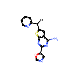 CCC(c1ccccn1)c1cc2c(N)nc(-c3cnco3)nc2s1